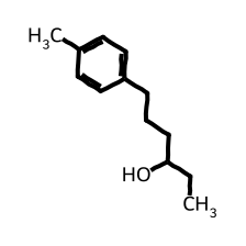 CCC(O)CCCc1ccc(C)cc1